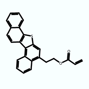 C=CC(=O)OCCc1cc2sc3c4ccccc4ccc3c2c2ccccc12